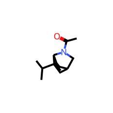 CC(=O)N1CC2C=CC1C(C(C)C)C2